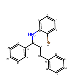 Brc1ccccc1NC(CCc1ccccc1)c1ccccc1